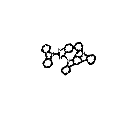 c1ccc2c(-n3c4ccccc4c4cc5c6ccccc6n6c7ccccc7c(c43)c56)nc(-n3c4ccccc4c4ccccc43)nc2c1